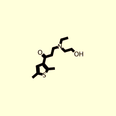 CCN(CCO)CCC(=O)c1cc(C)sc1C